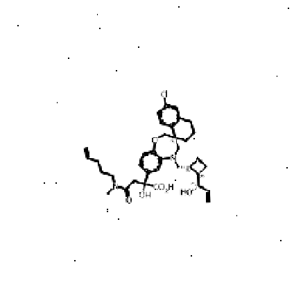 C=CCCCN(C)C(=O)CC(O)(C(=O)O)c1ccc2c(c1)N(C[C@@H]1CC[C@H]1[C@@H](O)C=C)C[C@@]1(CCCc3cc(Cl)ccc31)CO2